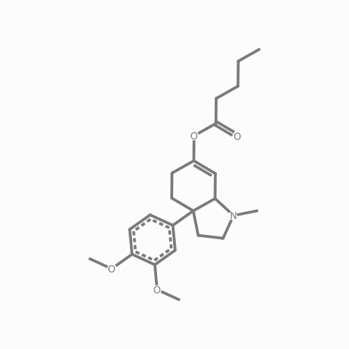 CCCCC(=O)OC1=CC2N(C)CCC2(c2ccc(OC)c(OC)c2)CC1